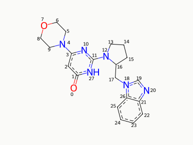 O=c1cc(N2CCOCC2)nc(N2CCCC2Cn2cnc3ccccc32)[nH]1